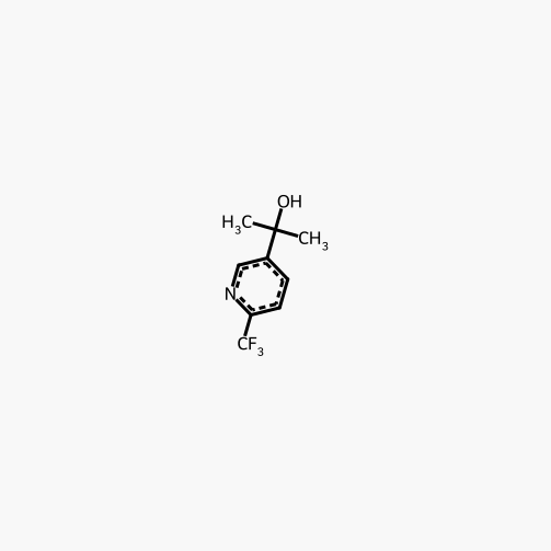 CC(C)(O)c1ccc(C(F)(F)F)nc1